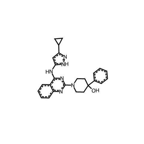 OC1(c2ccccc2)CCN(c2nc(Nc3cc(C4CC4)n[nH]3)c3ccccc3n2)CC1